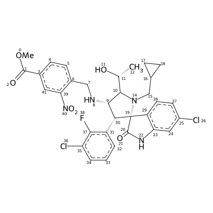 COC(=O)c1ccc(CN[C@@H]2C([C@@H](C)O)N(CC3CC3)[C@]3(C(=O)Nc4cc(Cl)ccc43)[C@@H]2c2cccc(Cl)c2F)c([N+](=O)[O-])c1